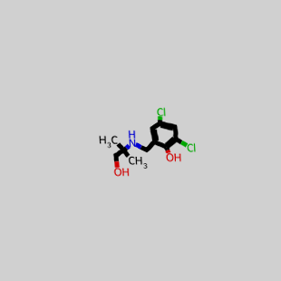 CC(C)(CO)NCc1cc(Cl)cc(Cl)c1O